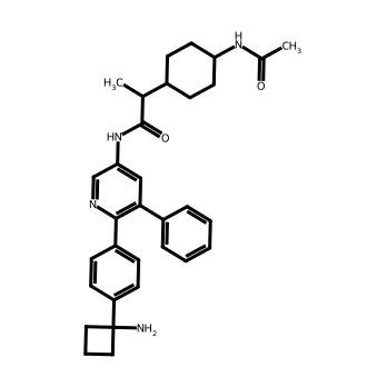 CC(=O)NC1CCC(C(C)C(=O)Nc2cnc(-c3ccc(C4(N)CCC4)cc3)c(-c3ccccc3)c2)CC1